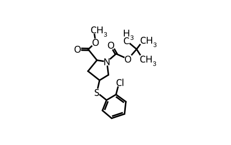 COC(=O)C1CC(Sc2ccccc2Cl)CN1C(=O)OC(C)(C)C